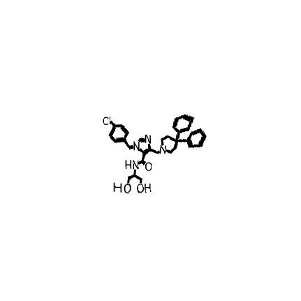 O=C(NC(CO)CO)c1c(CN2CCC(c3ccccc3)(c3ccccc3)CC2)ncn1Cc1ccc(Cl)cc1